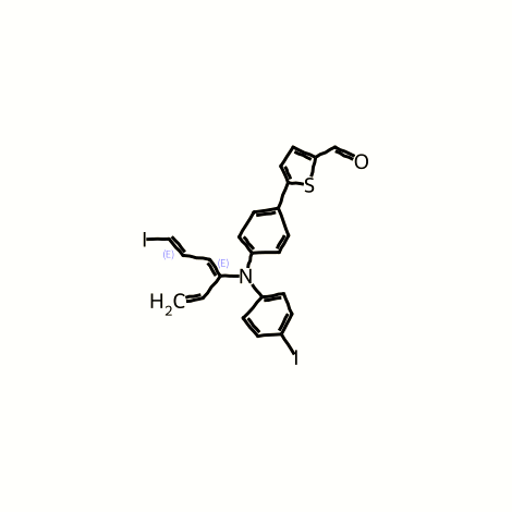 C=C/C(=C\C=C\I)N(c1ccc(I)cc1)c1ccc(-c2ccc(C=O)s2)cc1